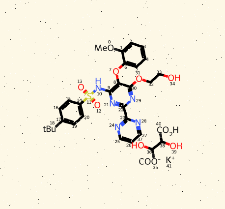 COc1ccccc1Oc1c(NS(=O)(=O)c2ccc(C(C)(C)C)cc2)nc(-c2ncccn2)nc1OCCO.O=C([O-])C(O)C(O)C(=O)O.[K+]